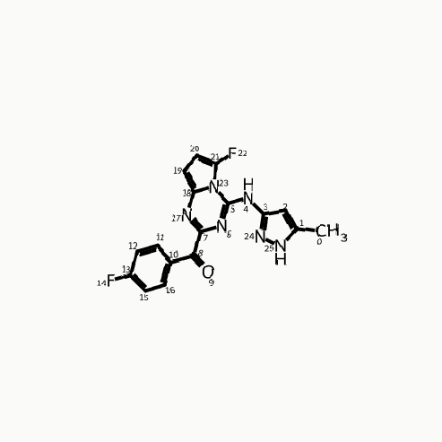 Cc1cc(Nc2nc(C(=O)c3ccc(F)cc3)nc3ccc(F)n23)n[nH]1